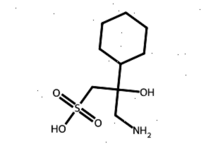 NCC(O)(CS(=O)(=O)O)C1CCCCC1